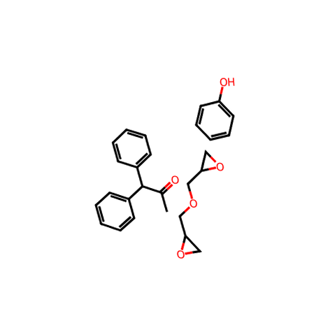 C(OCC1CO1)C1CO1.CC(=O)C(c1ccccc1)c1ccccc1.Oc1ccccc1